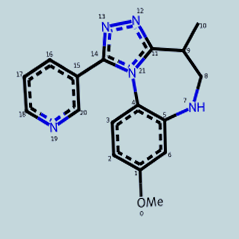 COc1ccc2c(c1)NCC(C)c1nnc(-c3cccnc3)n1-2